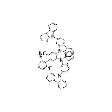 N#Cc1cc(-n2c3ccccc3c3ccc(-n4c5ccccc5c5ccccc54)cc32)c(-n2c3ccccc3c3ccc(-n4c5ccccc5c5ccccc54)cc32)cc1-c1c(F)cccc1F